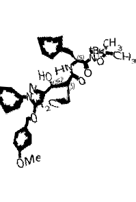 C=C[C@H](C(=O)N[C@@H](Cc1ccccc1)C(=O)N(O[SiH](C)C)C(C)(C)C)[C@H](O)c1cc(OCc2ccc(OC)cc2)n(-c2ccccc2)n1